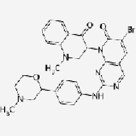 CN1CCOC(c2ccc(Nc3ncc4cc(Br)c(=O)n(C5CN(C)c6ccccc6C5=O)c4n3)cc2)C1